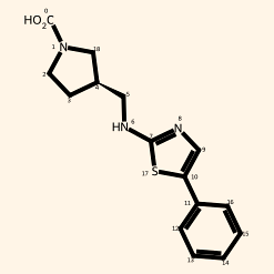 O=C(O)N1CC[C@H](CNc2ncc(-c3ccccc3)s2)C1